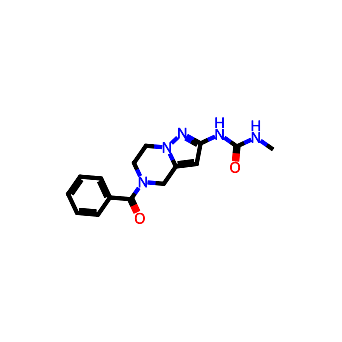 CNC(=O)Nc1cc2n(n1)CCN(C(=O)c1ccccc1)C2